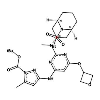 CCS(=O)(=O)N1[C@@H]2CCC[C@H]1C[C@H](N(C)c1nc(Nc3cc(C)n(C(=O)OC(C)(C)C)n3)cc(OC3COC3)n1)C2